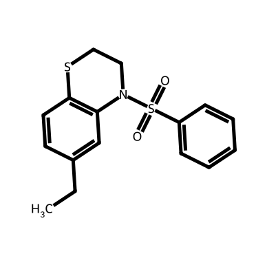 CCc1ccc2c(c1)N(S(=O)(=O)c1ccccc1)CCS2